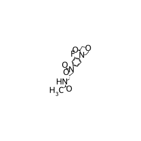 CC(=O)NC[C@H]1CN(c2ccc(N3CCOCC3=O)c(F)c2)C(=O)O1